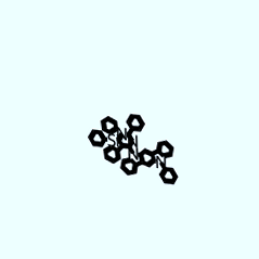 c1ccc(-c2nc(-n3c4ccccc4c4cc5c(cc43)c3ccccc3n5-c3ccccc3)c3c(n2)[Si](c2ccccc2)(c2ccccc2)c2ccccc2-3)cc1